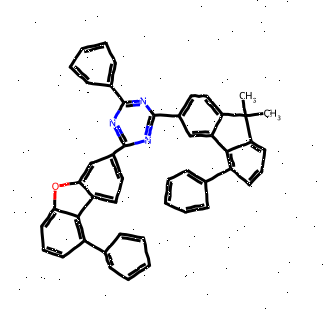 CC1(C)c2ccc(-c3nc(-c4ccccc4)nc(-c4ccc5c(c4)oc4cccc(-c6ccccc6)c45)n3)cc2-c2c(-c3ccccc3)cccc21